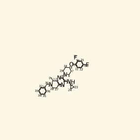 CC1c2nc(N3CCC(Oc4ccc(F)cc4F)CC3)c(NC3CC3)nc2CCN1Cc1ccccc1